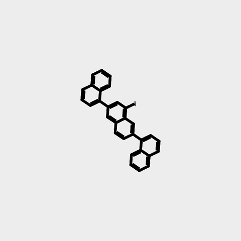 Ic1cc(-c2cccc3ccccc23)cc2ccc(-c3cccc4ccccc34)cc12